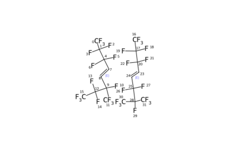 FC(F)(F)C(F)(F)C(F)(F)/C=C/C(F)(C(F)(F)F)C(F)(F)C(F)(F)F.FC(F)(F)C(F)(F)C(F)(F)/C=C/C(F)(F)C(F)(C(F)(F)F)C(F)(F)F